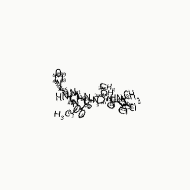 CCOC(=O)c1sc(N2CC[C@@H](NC(=O)c3[nH]c(C)c(Cl)c3Cl)[C@@H](OCC)C2)nc1-c1cnc(NCCN2CCOCC2)cn1